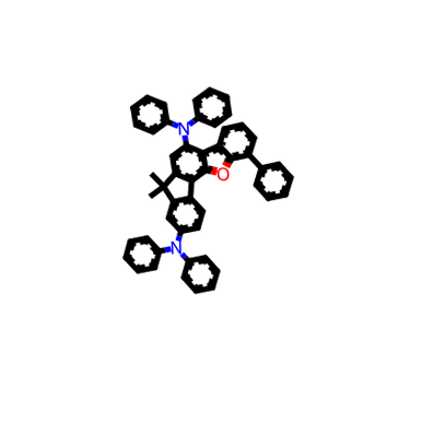 CC1(C)c2cc(N(c3ccccc3)c3ccccc3)ccc2-c2c1cc(N(c1ccccc1)c1ccccc1)c1c2oc2c(-c3ccccc3)cccc21